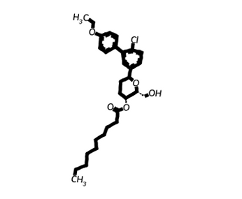 CCCCCCCCCC(=O)O[C@@H]1CCC(c2ccc(Cl)c(-c3ccc(OCC)cc3)c2)O[C@@H]1CO